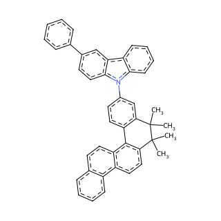 CC1(C)c2cc(-n3c4ccccc4c4cc(-c5ccccc5)ccc43)ccc2-c2c(ccc3c2ccc2ccccc23)C1(C)C